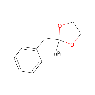 CCCC1(Cc2ccccc2)OCCO1